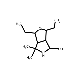 CCC1OC(CC)C2C1C(O)BC2(C)C